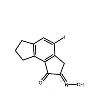 O=C1/C(=N/O)Cc2c(I)cc3c(c21)CCC3